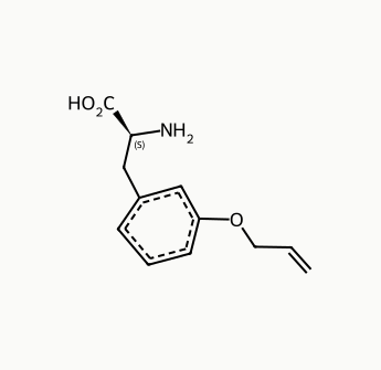 C=CCOc1cccc(C[C@H](N)C(=O)O)c1